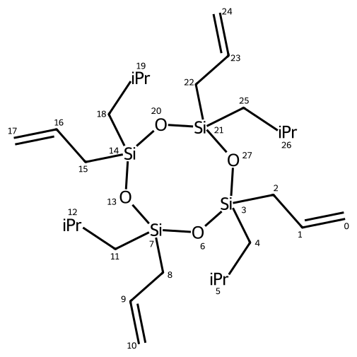 C=CC[Si]1(CC(C)C)O[Si](CC=C)(CC(C)C)O[Si](CC=C)(CC(C)C)O[Si](CC=C)(CC(C)C)O1